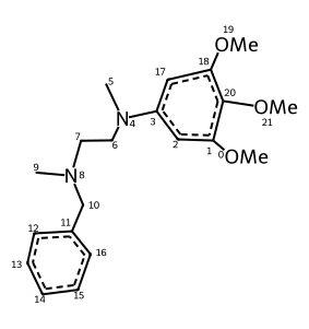 COc1cc(N(C)CCN(C)Cc2ccccc2)cc(OC)c1OC